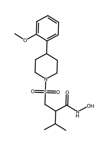 COc1ccccc1C1CCN(S(=O)(=O)CC(C(=O)NO)C(C)C)CC1